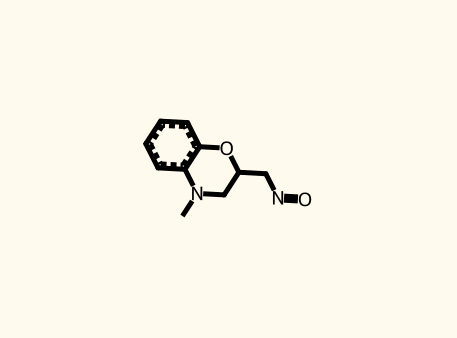 CN1CC(CN=O)Oc2ccccc21